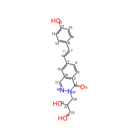 O=c1c2ccc(/C=C/c3ccc(O)cc3)cc2cnn1CC(O)CO